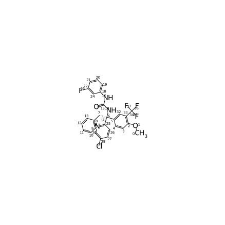 COc1ccc([C@](Cc2ccccc2)(NC(=O)Nc2cccc(F)c2)c2ccc(Cl)cn2)cc1C(F)(F)F